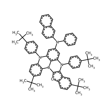 CC(C)(C)c1ccc(N2c3ccc(C(C)(C)C)cc3B3c4oc5ccc(C(C)(C)C)cc5c4N(c4ccc(C(C)(C)C)cc4)c4cc(N(c5ccccc5)c5ccc6ccccc6c5)cc2c43)cc1